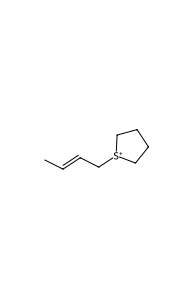 C/C=C/C[S+]1CCCC1